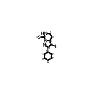 S=c1[nH]ccc2c(I)c(-c3ccccc3)nn12